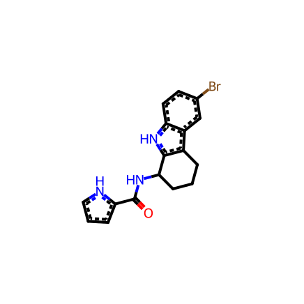 O=C(NC1CCCc2c1[nH]c1ccc(Br)cc21)c1ccc[nH]1